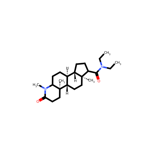 CCN(CC)C(=O)C1CC[C@H]2[C@@H]3CCC4N(C)C(=O)CC[C@]4(C)[C@H]3CC[C@]12C